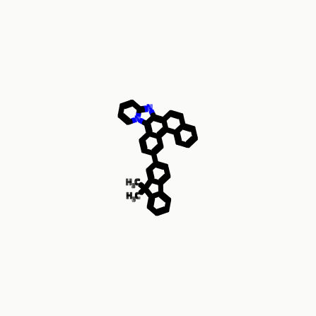 CC1(C)c2ccccc2-c2ccc(-c3ccc4c(c3)c3c5ccccc5ccc3c3nc5ccccn5c43)cc21